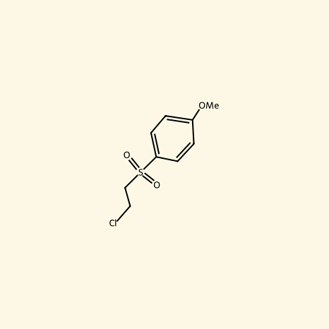 COc1ccc(S(=O)(=O)CCCl)cc1